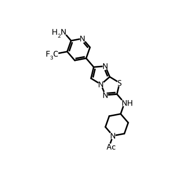 CC(=O)N1CCC(Nc2nn3cc(-c4cnc(N)c(C(F)(F)F)c4)nc3s2)CC1